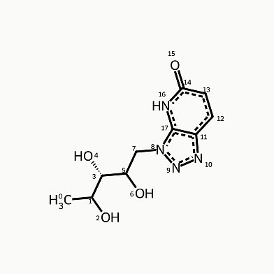 CC(O)[C@H](O)C(O)Cn1nnc2ccc(=O)[nH]c21